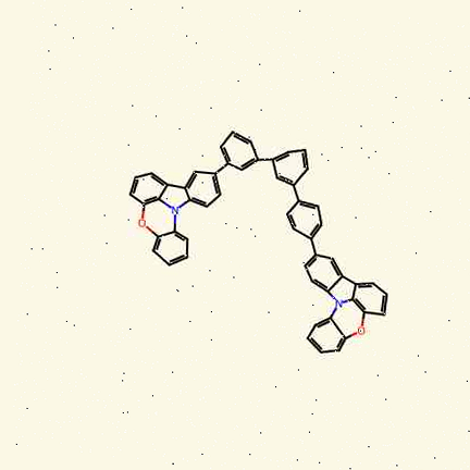 c1cc(-c2ccc(-c3ccc4c(c3)c3cccc5c3n4-c3ccccc3O5)cc2)cc(-c2cccc(-c3ccc4c(c3)c3cccc5c3n4-c3ccccc3O5)c2)c1